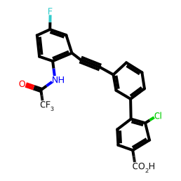 O=C(O)c1ccc(-c2cccc(C#Cc3cc(F)ccc3NC(=O)C(F)(F)F)c2)c(Cl)c1